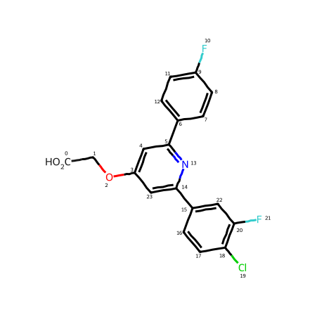 O=C(O)COc1cc(-c2ccc(F)cc2)nc(-c2ccc(Cl)c(F)c2)c1